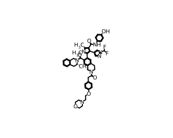 Cc1c(C(=O)Nc2ccc(O)cc2)c(-c2cnn(C(F)F)c2)c(-c2cc3c(cc2C(=O)N2Cc4ccccc4C[C@H]2C)CN(C(=O)Cc2ccc(OCCN4CCOCC4)cc2)CC3)n1C